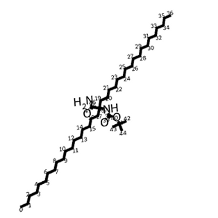 CCCCCCCCCCCCCCCCCCC(CCCCCCCCCCCCCCCCCC)(NC(=O)OC(C)(C)C)C(N)=O